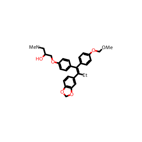 CCC(=C(c1ccc(OCOC)cc1)c1ccc(OCC(O)CNC)cc1)c1ccc2c(c1)OCO2